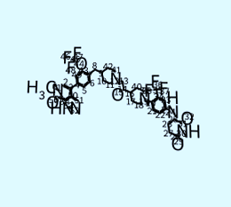 Cn1cc(-c2ccc(CC3CCN(CC(=O)C4CCN(c5ccc(NC6CCC(=O)NC6=O)cc5C(F)(F)F)CC4)CC3)c(OC(F)(F)F)c2)c2cn[nH]c2c1=O